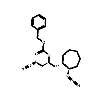 [N-]=[N+]=NC[C@H](C[C@@H]1CCCCC[C@H]1N=[N+]=[N-])OC(=O)OCc1ccccc1